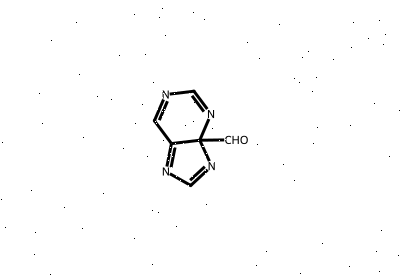 O=CC12N=CN=CC1=NC=N2